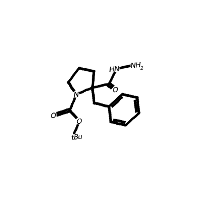 CC(C)(C)OC(=O)N1CCCC1(Cc1ccccc1)C(=O)NN